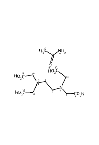 NC(N)=O.O=C(O)CN(CCN(CC(=O)O)CC(=O)O)CC(=O)O